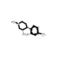 CCOC(=O)[C@@H]1CN(C)CC[C@H]1c1ccc(C)cc1